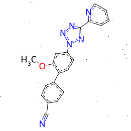 COc1cc(-n2nnc(-c3ccccn3)n2)ccc1-c1ccc(C#N)cc1